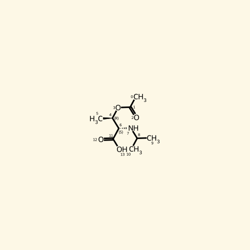 CC(=O)O[C@H](C)[C@H](NC(C)C)C(=O)O